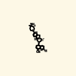 [2H]c1ccc2c(N3C[C@@H](C)N4Cc5nc(N6CCC(C)(N)CC6)ccc5[C@H]4C3)ccc(C#N)c2n1